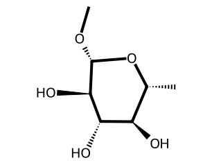 CO[C@@H]1O[C@H](C)[C@@H](O)[C@H](O)[C@H]1O